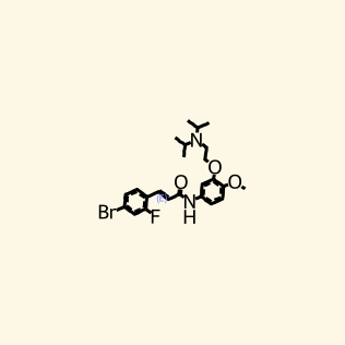 COc1ccc(NC(=O)/C=C/c2ccc(Br)cc2F)cc1OCCN(C(C)C)C(C)C